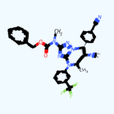 [C-]#[N+]C1=C(C)N(c2cccc(C(F)(F)F)c2)c2nc(N(C)C(=O)OCc3ccccc3)nn2[C@@H]1c1ccc(C#N)cc1